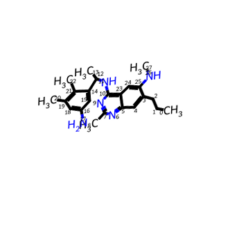 CCCc1cc2nc(C)nc(NC(C)c3cc(N)cc(C)c3C)c2cc1NC